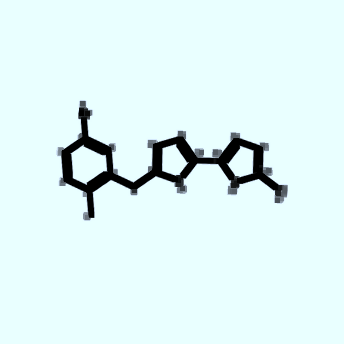 Cc1ccc(Br)cc1Cc1ccc(-c2ccc(Cl)s2)s1